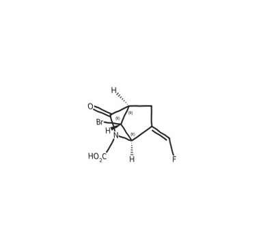 O=C(O)N1C(=O)[C@H]2CC(=CF)[C@@H]1[C@@H]2Br